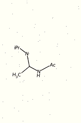 CC(=O)NC(C)[N]C(C)C